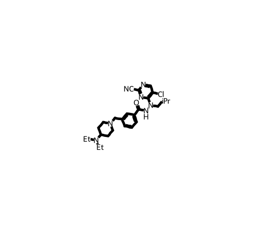 CCN(CC)C1CCN(Cc2cccc(C(=O)NN(CC(C)C)c3nc(C#N)ncc3Cl)c2)CC1